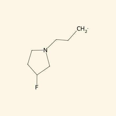 [CH2]CCN1CCC(F)C1